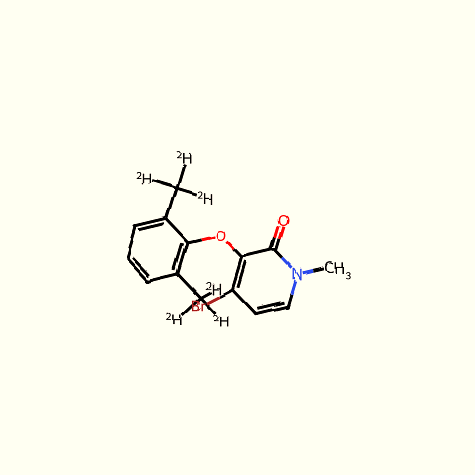 [2H]C([2H])([2H])c1cccc(C([2H])([2H])[2H])c1Oc1c(Br)ccn(C)c1=O